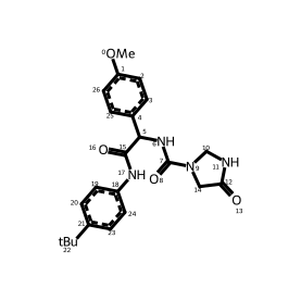 COc1ccc(C(NC(=O)N2CNC(=O)C2)C(=O)Nc2ccc(C(C)(C)C)cc2)cc1